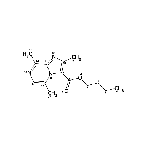 CCCCOC(=O)c1c(C)nc2c(C)ncc(C)n12